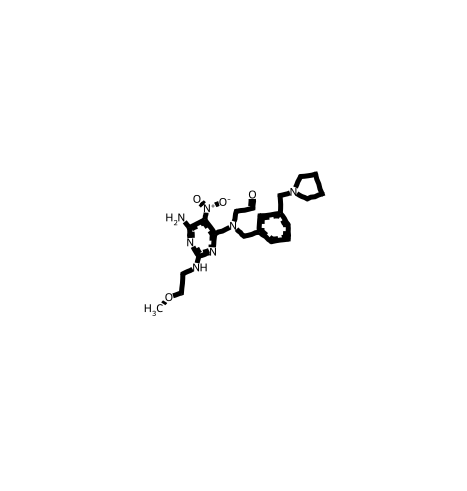 COCCNc1nc(N)c([N+](=O)[O-])c(N(CC=O)Cc2cccc(CN3CCCC3)c2)n1